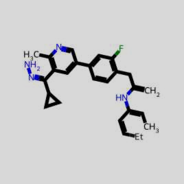 C=C(Cc1ccc(-c2cnc(C)c(/C(=N\N)C3CC3)c2)cc1F)NC(/C=C\CC)=C/C